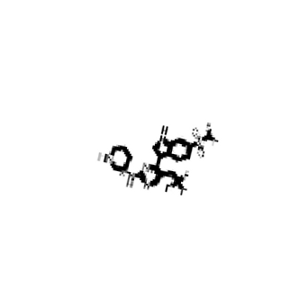 O=S(=O)(c1ccc2c(-c3nc(N[C@H]4CCCNC4)ncc3CC(F)(F)F)c[nH]c2c1)C(F)F